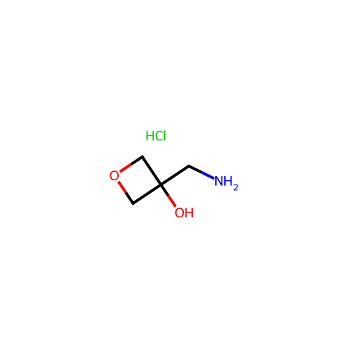 Cl.NCC1(O)COC1